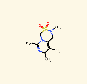 CC1=NC(C)C(C)=C2CN(C)S(=O)(=O)CN12